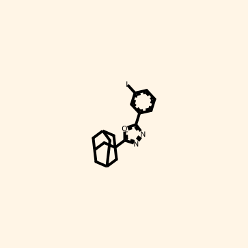 Ic1cccc(-c2nnc(C34CC5CC(CC(C5)C3)C4)o2)c1